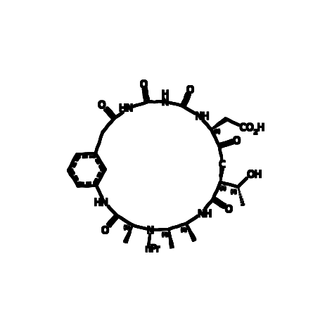 CCCN1[C@H](C)[C@H](C)NC(=O)[C@H]([C@@H](C)O)CC(=O)[C@H](CC(=O)O)NC(=O)NC(=O)NC(=O)Cc2cccc(c2)NC(=O)[C@@H]1C